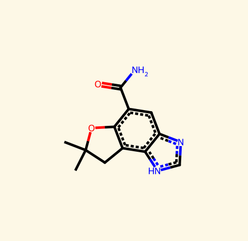 CC1(C)Cc2c(c(C(N)=O)cc3nc[nH]c23)O1